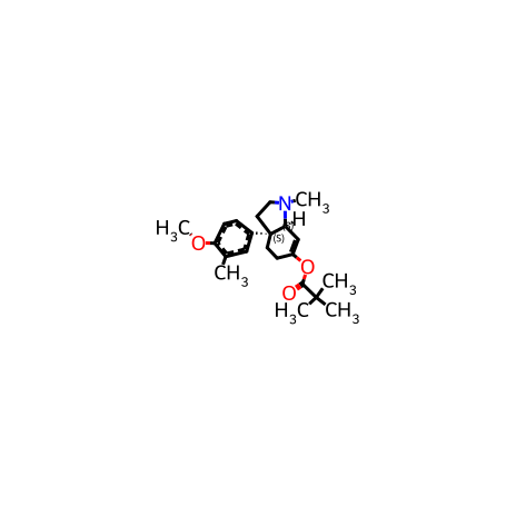 COc1ccc([C@@]23CCC(OC(=O)C(C)(C)C)=C[C@@H]2N(C)CC3)cc1C